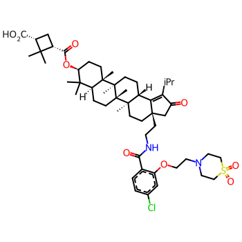 CC(C)C1=C2[C@H]3CC[C@@]4(C)[C@@](C)(CC[C@H]5C(C)(C)[C@@H](OC(=O)[C@H]6C[C@@H](C(=O)O)C6(C)C)CC[C@@]54C)[C@]3(C)CC[C@@]2(CCNC(=O)c2ccc(Cl)cc2OCCN2CCS(=O)(=O)CC2)CC1=O